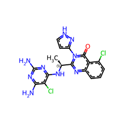 C[C@H](Nc1nc(N)nc(N)c1Cl)c1nc2cccc(Cl)c2c(=O)n1-c1cc[nH]n1